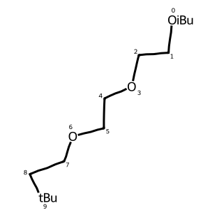 CC(C)COCCOCCOCCC(C)(C)C